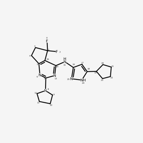 FC1(F)CCc2nc(N3[CH]CCC3)nc(Nc3cc(C4CCCC4)[nH]n3)c21